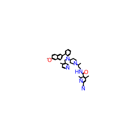 COc1ccc2cc(-c3ccccc3N(Cc3cnccc3C)C3CCN(C(C)CCNC(=O)c4c(C)cc(C#N)nc4C)CC3)ccc2c1